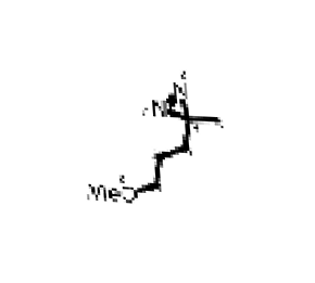 COCCCC1(C)N=N1